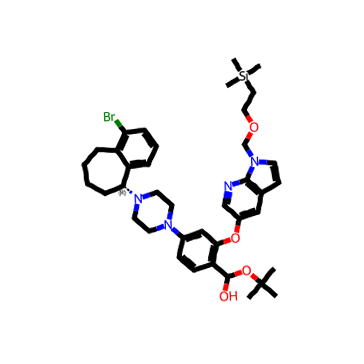 CC(C)(C)OC(O)c1ccc(N2CCN([C@@H]3CCCCc4c(Br)cccc43)CC2)cc1Oc1cnc2c(ccn2COCC[Si](C)(C)C)c1